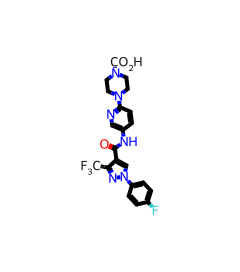 O=C(Nc1ccc(N2CCN(C(=O)O)CC2)nc1)c1cn(-c2ccc(F)cc2)nc1C(F)(F)F